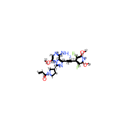 C=CC(=O)N1CC[C@H](c2nc(C#Cc3c(F)c(OC)nc(OC)c3F)c3c(N)ncc(OC)n23)C1